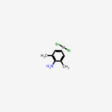 Cc1cccc(C)c1N.[Br][Ni][Br]